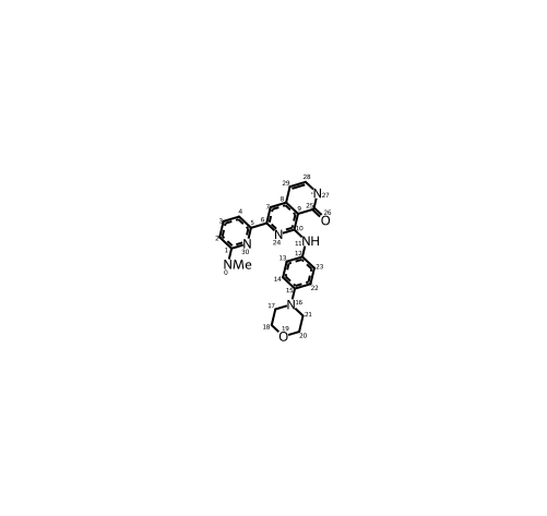 CNc1cccc(-c2cc3c(c(Nc4ccc(N5CCOCC5)cc4)n2)C(=O)[N]C=C3)n1